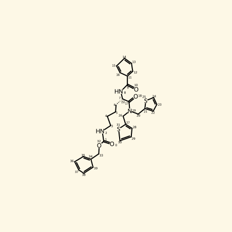 O=C(NCCCC[C@H](NC(=O)c1ccccc1)C(=O)N(Cc1cccs1)Cc1cccs1)OCc1ccccc1